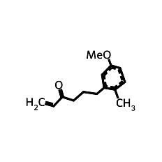 C=CC(=O)CCCc1cc(OC)ccc1C